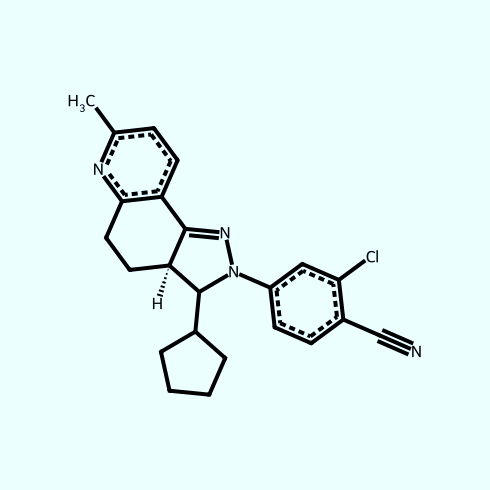 Cc1ccc2c(n1)CC[C@H]1C2=NN(c2ccc(C#N)c(Cl)c2)C1C1CCCC1